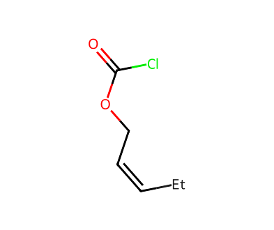 CC/C=C\COC(=O)Cl